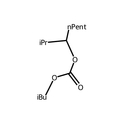 CCCCCC(OC(=O)OC(C)CC)C(C)C